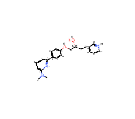 CN(C)c1cccc(-c2ccc(OC[C@H](O)CCc3cccnc3)cc2)n1